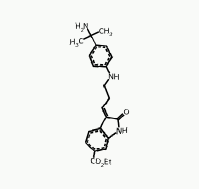 CCOC(=O)c1ccc2c(c1)NC(=O)C2=CCCNc1ccc(C(C)(C)N)cc1